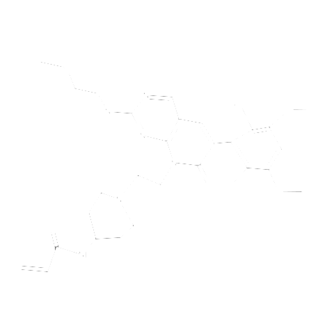 C=CC(=O)NC1CCN(CCn2c(=O)c(-c3c(Cl)c(OC)cc(OC)c3Cl)cc3cnc(NCCOC)nc32)CC1